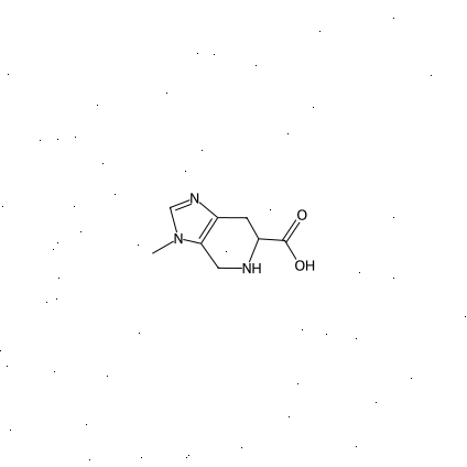 Cn1cnc2c1CNC(C(=O)O)C2